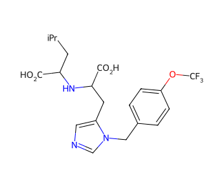 CC(C)CC(NC(Cc1cncn1Cc1ccc(OC(F)(F)F)cc1)C(=O)O)C(=O)O